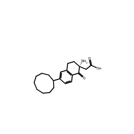 N[C@@]1(CC(=O)O)CCc2cc(C3CCCCCCCC3)ccc2C1=O